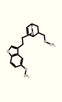 COCC1CC2C=CC1N(CCc1coc3ccc(OC)cc13)C2